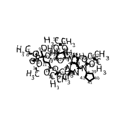 CCOP(=O)(OCC)C(CO)(CCC(=O)OC(C)(C)C)OC[C@H]1O[C@@H](n2ncc3c(N(C(=O)OC(C)(C)C)C4CCCC4)nc(Cl)nc32)[C@@H]2OC(C)(C)O[C@@H]21